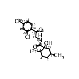 CC1CCC(C(C)C)C(O)(C(=O)NCC(=O)c2ccc(Cl)cc2Cl)C1